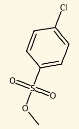 COS(=O)(=O)c1ccc(Cl)cc1